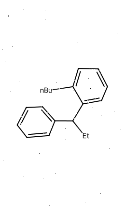 CCCCc1ccccc1C(CC)c1ccccc1